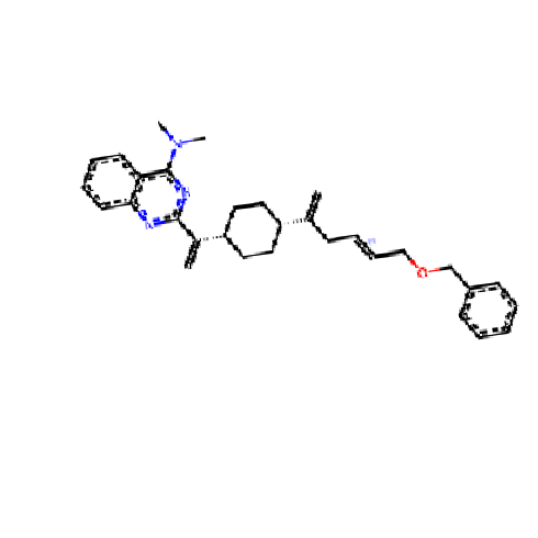 C=C(C/C=C/COCc1ccccc1)[C@H]1CC[C@@H](C(=C)c2nc(N(C)C)c3ccccc3n2)CC1